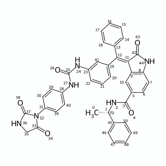 C[C@H](NC(=O)c1ccc2c(c1)C(=C(c1ccccc1)c1cccc(NC(=O)Nc3ccc(N4C(=O)CNC4=O)cc3)c1)C(=O)N2)c1ccccc1